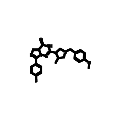 COc1ccc(CN2CC(C)C(c3nn4c(-c5ccc(F)cc5)ncc4c(=O)[nH]3)C2)cc1